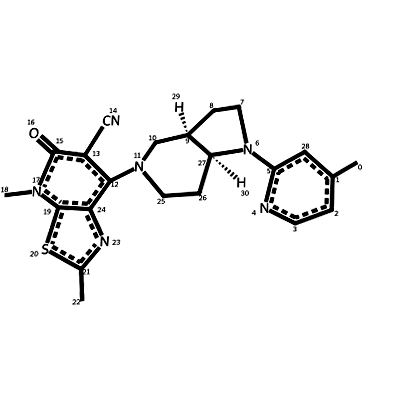 Cc1ccnc(N2CC[C@@H]3CN(c4c(C#N)c(=O)n(C)c5sc(C)nc45)CC[C@@H]32)c1